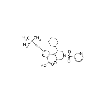 CC(C)(C)C#Cc1cc(N2C(=O)CN(S(=O)(=O)c3cccnc3)CC2C2CCCCC2)c(C(=O)O)s1